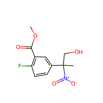 COC(=O)c1cc(C(C)(CO)[N+](=O)[O-])ccc1F